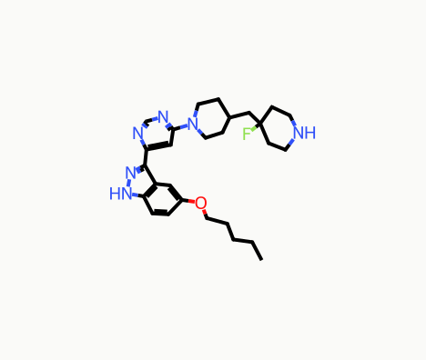 CCCCCOc1ccc2[nH]nc(-c3cc(N4CCC(CC5(F)CCNCC5)CC4)ncn3)c2c1